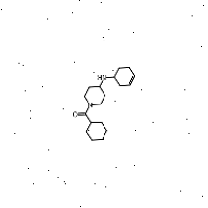 O=C(C1CCCCC1)N1CCC(NC2CC=CCC2)CC1